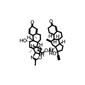 C#C[C@]1(O)CC[C@H]2[C@@H]3CCC4=CC(=O)CC[C@@H]4[C@H]3C(=C)C[C@@]21CC.CC(=O)OCC(=O)[C@@]12N=C(C)O[C@@H]1C[C@H]1[C@@H]3CCC4=CC(=O)C=C[C@]4(C)[C@H]3[C@@H](O)C[C@@]12C